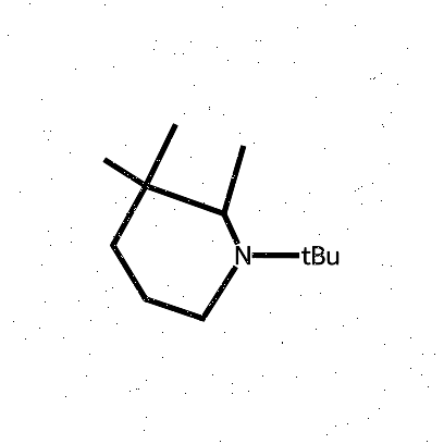 CC1N(C(C)(C)C)CCCC1(C)C